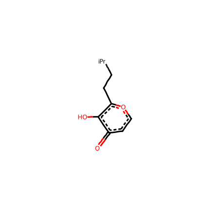 CC(C)CCc1occc(=O)c1O